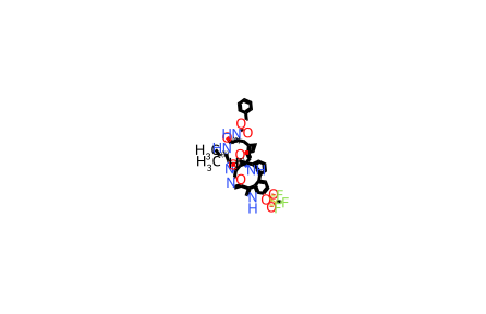 CC(C)[C@@H]1NC(=O)[C@@H](NC(=O)OCc2ccccc2)Cc2ccc3c(c2)C24c5cccc(c5N[C@H]2O3)-c2ccc(OS(=O)(=O)C(F)(F)F)c3[nH]cc(c23)-c2cnc(o2)-c2nc1oc24